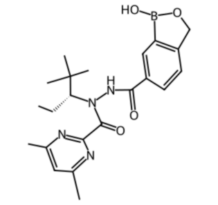 CC[C@@H](N(NC(=O)c1ccc2c(c1)B(O)OC2)C(=O)c1nc(C)cc(C)n1)C(C)(C)C